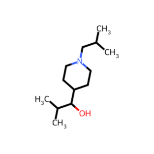 CC(C)CN1CCC(C(O)C(C)C)CC1